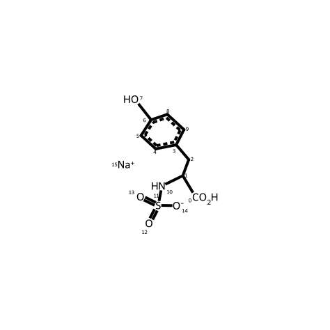 O=C(O)C(Cc1ccc(O)cc1)NS(=O)(=O)[O-].[Na+]